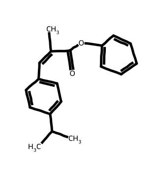 CC(=Cc1ccc(C(C)C)cc1)C(=O)Oc1ccccc1